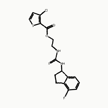 O=C(OCCNC(=S)NC1CCc2c(F)cccc21)c1sccc1Cl